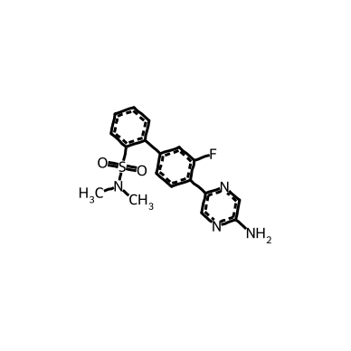 CN(C)S(=O)(=O)c1ccccc1-c1ccc(-c2cnc(N)cn2)c(F)c1